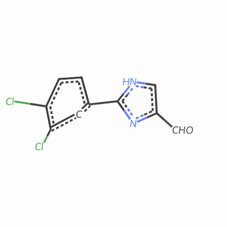 O=Cc1c[nH]c(-c2ccc(Cl)c(Cl)c2)n1